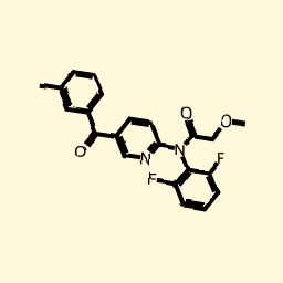 COCC(=O)N(c1ccc(C(=O)c2cccc(C)c2)cn1)c1c(F)cccc1F